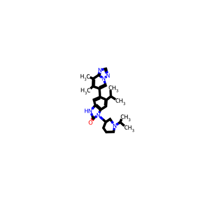 Cc1c(-c2cc3[nH]c(=O)n(C4CCCN(C(C)C)C4)c3cc2C(C)C)cn2ncnc2c1C